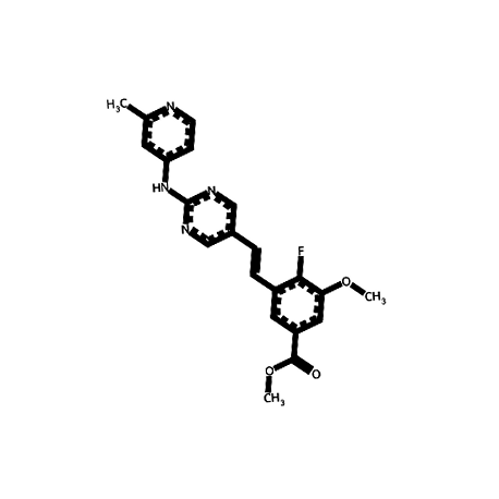 COC(=O)c1cc(/C=C/c2cnc(Nc3ccnc(C)c3)nc2)c(F)c(OC)c1